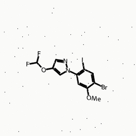 COc1cc(-n2cc(OC(F)F)cn2)c(I)cc1Br